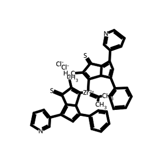 CC1=[C]([Zr+2]([C]2=C(C)C(=S)C3=C(c4cccnc4)C=C(c4ccccc4)C32)=[C](C)C)C2C(c3ccccc3)=CC(c3cccnc3)=C2C1=S.[Cl-].[Cl-]